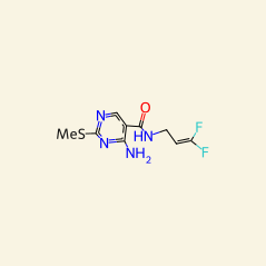 CSc1ncc(C(=O)NCC=C(F)F)c(N)n1